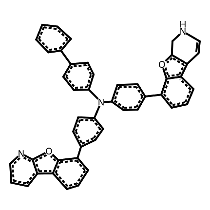 C1=Cc2c(oc3c(-c4ccc(N(c5ccc(-c6ccccc6)cc5)c5ccc(-c6cccc7c6oc6ncccc67)cc5)cc4)cccc23)CN1